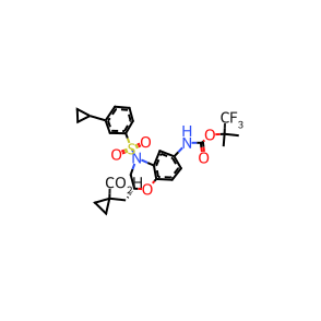 CC(C)(OC(=O)Nc1ccc2c(c1)N(S(=O)(=O)c1cccc(C3CC3)c1)C[C@@H](CC1(C(=O)O)CC1)O2)C(F)(F)F